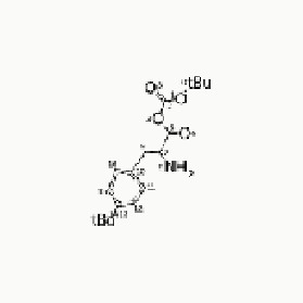 CC(C)(C)OC(=O)OC(=O)C(N)Cc1ccc(C(C)(C)C)cc1